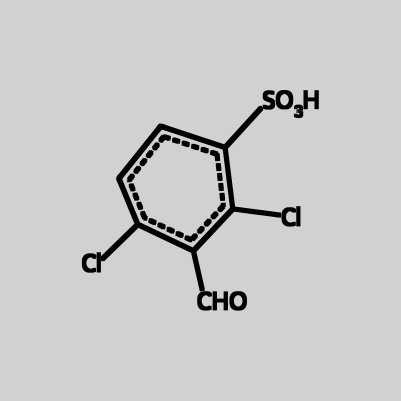 O=Cc1c(Cl)ccc(S(=O)(=O)O)c1Cl